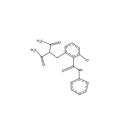 CC(=O)C(Cc1cccc(Cl)c1C(=O)Nc1ccccc1)C(C)=O